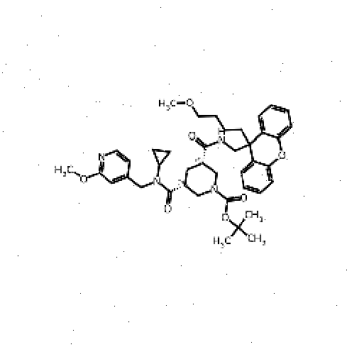 COCCCCC1(CNC(=O)[C@H]2C[C@@H](C(=O)N(Cc3ccnc(OC)c3)C3CC3)CN(C(=O)OC(C)(C)C)C2)c2ccccc2Oc2ccccc21